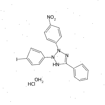 Cl.O.O=[N+]([O-])c1ccc(N2N=C(c3ccccc3)NN2c2ccc(I)cc2)cc1